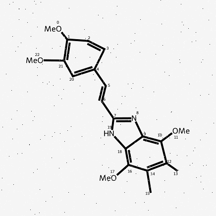 COc1ccc(C=Cc2nc3c(OC)c(C)c(C)c(OC)c3[nH]2)cc1OC